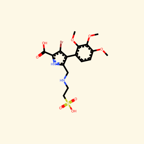 COc1ccc(-c2c(CNCCS(=O)(=O)O)[nH]c(C(=O)O)c2Br)c(OC)c1OC